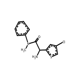 CN(C(=O)C(N)c1cc(Cl)cs1)c1ccccc1